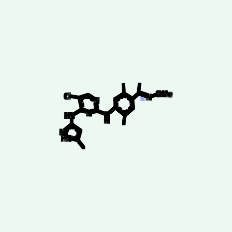 CO/N=C(\C)c1cc(C)c(Nc2ncc(Cl)c(Nc3cc(C)[nH]n3)n2)cc1C